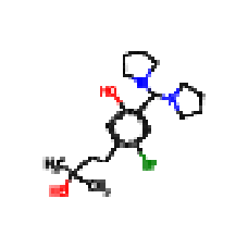 CC(C)(O)CCc1cc(O)c(C(N2CCCC2)N2CCCC2)cc1Br